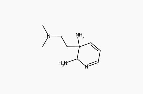 CN(C)CCC1(N)C=CC=NC1N